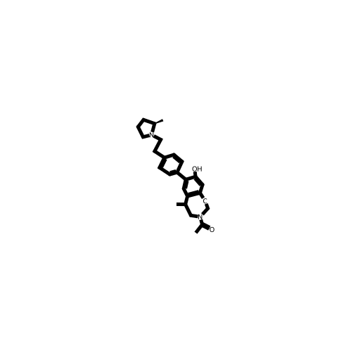 CC(=O)N1CCc2cc(O)c(-c3ccc(CCN4CCC[C@H]4C)cc3)cc2C(C)C1